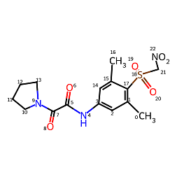 Cc1cc(NC(=O)C(=O)N2CCCC2)cc(C)c1S(=O)(=O)C[N+](=O)[O-]